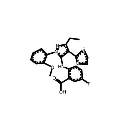 CCc1nn(-c2ccccc2OC)c(Nc2ccc(F)cc2C(=O)O)c1-c1nccs1